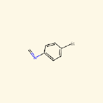 C=Nc1ccc(CC)cc1